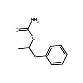 CC(OC(N)=O)Sc1ccccc1